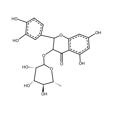 C[C@H]1OC(OC2C(=O)c3c(O)cc(O)cc3OC2c2ccc(O)c(O)c2)[C@@H](O)[C@@H](O)[C@@H]1O